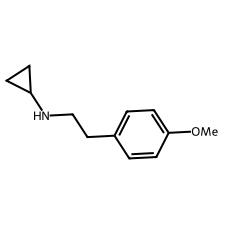 COc1ccc(CCNC2CC2)cc1